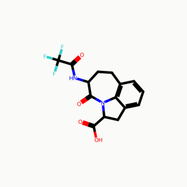 O=C(O)C1Cc2cccc3c2N1C(=O)C(NC(=O)C(F)(F)F)CC3